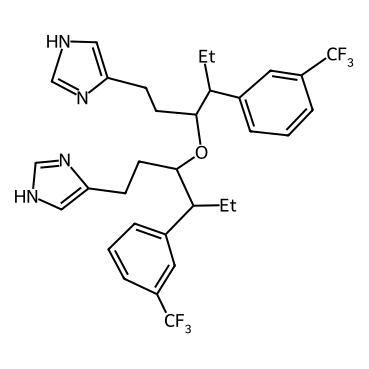 CCC(c1cccc(C(F)(F)F)c1)C(CCc1c[nH]cn1)OC(CCc1c[nH]cn1)C(CC)c1cccc(C(F)(F)F)c1